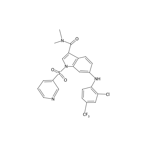 CN(C)C(=O)c1cn(S(=O)(=O)c2cccnc2)c2cc(Nc3ccc(C(F)(F)F)cc3Cl)ccc12